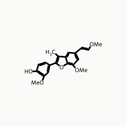 CO/C=C/c1cc(OC)c2oc(-c3ccc(O)c(OC)c3)c(C)c2c1